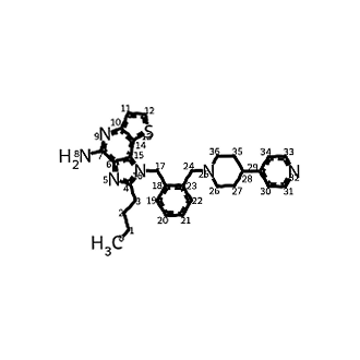 CCCCc1nc2c(N)nc3ccsc3c2n1Cc1ccccc1CN1CCC(c2ccncc2)CC1